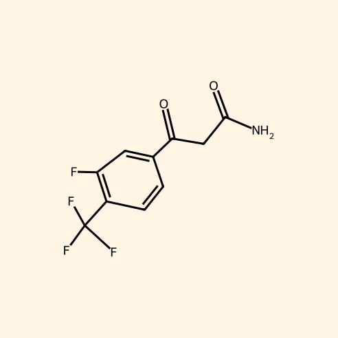 NC(=O)CC(=O)c1ccc(C(F)(F)F)c(F)c1